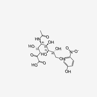 CC(=O)N[C@@H]([C@@H](O)[C@H](O)[C@H](O)CO)[C@@H](O)CC(=O)C(=O)O.O=[N+]([O-])c1ccc(O)cc1